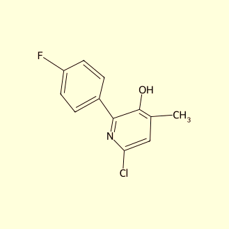 Cc1cc(Cl)nc(-c2ccc(F)cc2)c1O